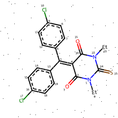 CCN1C(=O)C(=C(c2ccc(Cl)cc2)c2ccc(Cl)cc2)C(=O)N(CC)C1=S